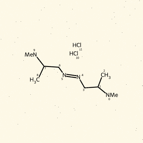 CNC(C)CN=NCC(C)NC.Cl.Cl